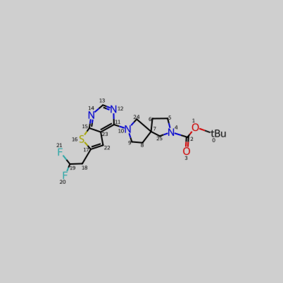 CC(C)(C)OC(=O)N1CCC2(CCN(c3ncnc4sc(CC(F)F)cc34)C2)C1